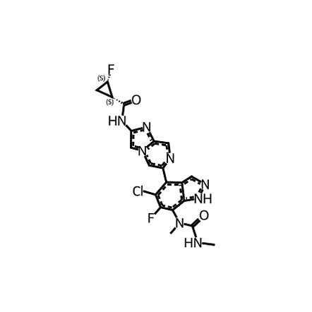 CNC(=O)N(C)c1c(F)c(Cl)c(-c2cn3cc(NC(=O)[C@@H]4C[C@@H]4F)nc3cn2)c2cn[nH]c12